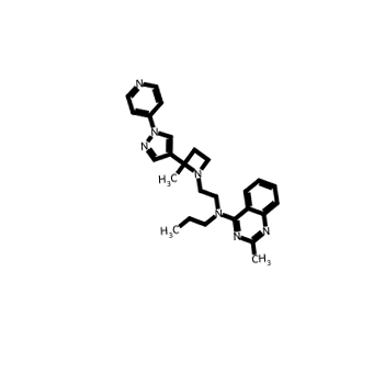 CCCN(CCN1CCC1(C)c1cnn(-c2ccncc2)c1)c1nc(C)nc2ccccc12